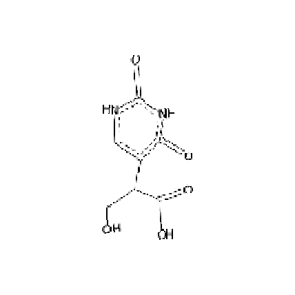 O=C(O)C(CO)c1c[nH]c(=O)[nH]c1=O